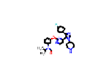 CC(C)N(C=O)c1cccc(Oc2nccc(-c3c(-c4ccc(F)cc4)ncn3C3CCNCC3)n2)c1